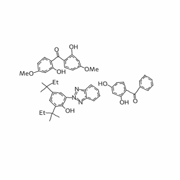 CCC(C)(C)c1cc(-n2nc3ccccc3n2)c(O)c(C(C)(C)CC)c1.COc1ccc(C(=O)c2ccc(OC)cc2O)c(O)c1.O=C(c1ccccc1)c1ccc(O)cc1O